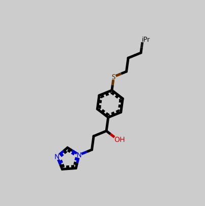 CC(C)CCCSc1ccc(C(O)CCn2ccnc2)cc1